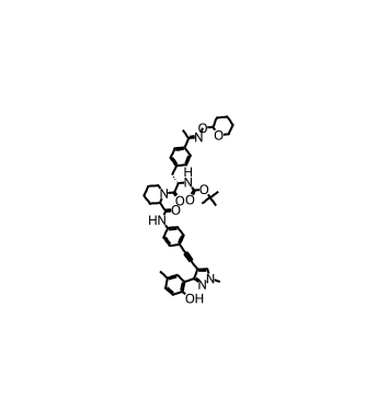 C/C(=N\OC1CCCCO1)c1ccc(C[C@H](NC(=O)OC(C)(C)C)C(=O)N2CCCCC2C(=O)Nc2ccc(C#Cc3cn(C)nc3-c3cc(C)ccc3O)cc2)cc1